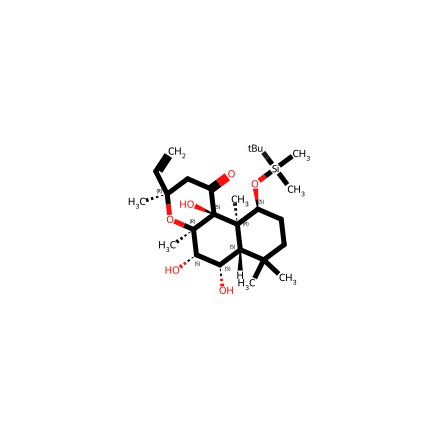 C=C[C@@]1(C)CC(=O)[C@]2(O)[C@@]3(C)[C@@H](O[Si](C)(C)C(C)(C)C)CCC(C)(C)[C@@H]3[C@H](O)[C@H](O)[C@@]2(C)O1